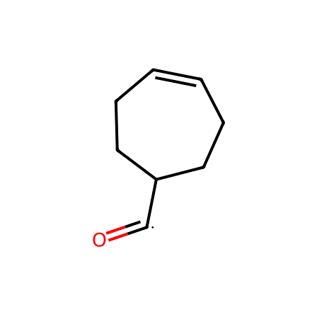 O=[C]C1CCC=CCC1